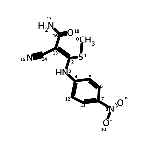 CS/C(Nc1ccc([N+](=O)[O-])cc1)=C(/C#N)C(N)=O